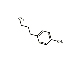 Cc1ccc(CCCC(F)(F)F)cc1